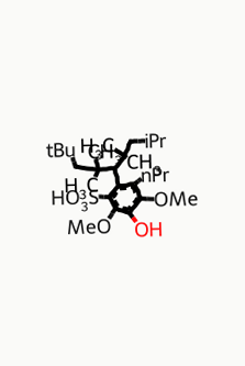 CCCc1c(OC)c(O)c(OC)c(S(=O)(=O)O)c1C(C(C)(C)CC(C)C)C(C)(C)CC(C)(C)C